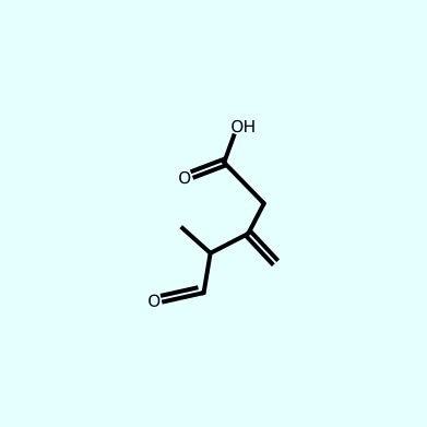 C=C(CC(=O)O)C(C)C=O